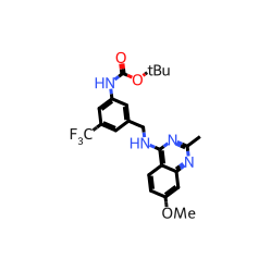 COc1ccc2c(NCc3cc(NC(=O)OC(C)(C)C)cc(C(F)(F)F)c3)nc(C)nc2c1